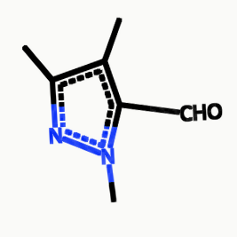 Cc1nn(C)c(C=O)c1C